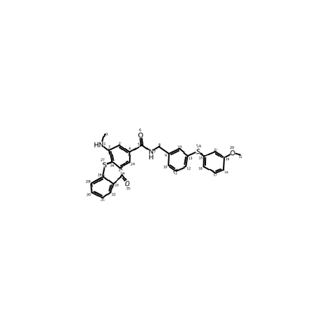 CNc1cc(C(=O)NCc2cccc(Sc3cccc(OC)c3)c2)ccc1Sc1ccccc1C=O